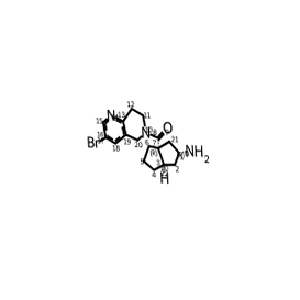 N[C@@H]1C[C@H]2CCC[C@@]2(C(=O)N2CCc3ncc(Br)cc3C2)C1